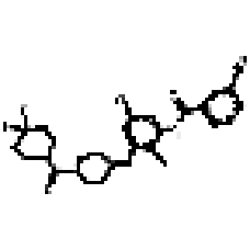 Cc1c(C=C2CCN(C(=O)C3CCC(F)(F)CC3)CC2)cc(Cl)cc1NC(=O)c1cccc(C#N)c1